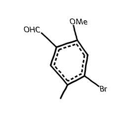 COc1cc(Br)c(C)cc1C=O